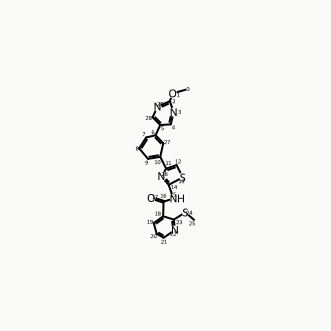 COc1ncc(-c2cccc(-c3csc(NC(=O)c4cccnc4SC)n3)c2)cn1